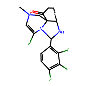 CN1C=C(F)N2C(c3ccc(F)c(F)c3F)NC3CCCC(=O)C32C1